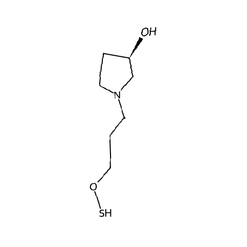 O[C@@H]1CCN(CCCOS)C1